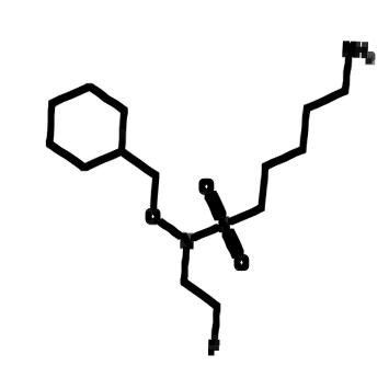 NCCCCCS(=O)(=O)N(CCF)OCC1CCCCC1